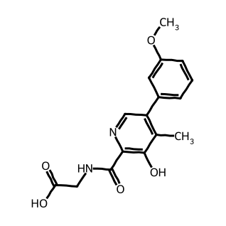 COc1cccc(-c2cnc(C(=O)NCC(=O)O)c(O)c2C)c1